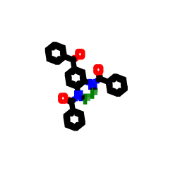 O=C(c1ccccc1)c1ccc(N(F)C(=O)c2ccccc2)c(N(F)C(=O)c2ccccc2)c1